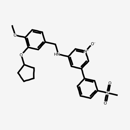 COc1ccc(CNc2cc(-c3cccc(S(C)(=O)=O)c3)c[n+]([O-])c2)cc1OC1CCCC1